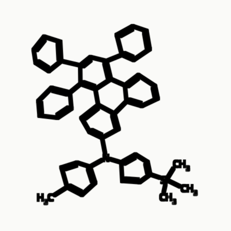 Cc1ccc(N(c2ccc([Si](C)(C)C)cc2)c2ccc3c(c2)c2ccccc2c2c(-c4ccccc4)cc(-c4ccccc4)c(-c4ccccc4)c32)cc1